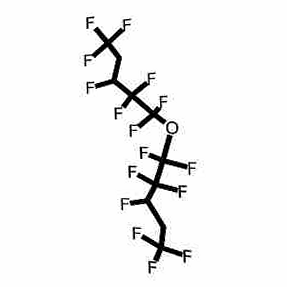 FC(CC(F)(F)F)C(F)(F)C(F)(F)OC(F)(F)C(F)(F)C(F)CC(F)(F)F